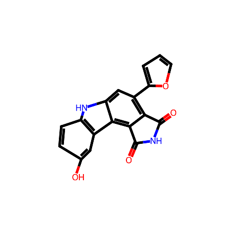 O=C1NC(=O)c2c1c(-c1ccco1)cc1[nH]c3ccc(O)cc3c21